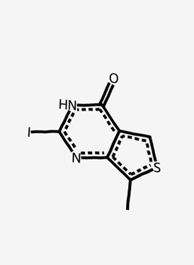 Cc1scc2c(=O)[nH]c(I)nc12